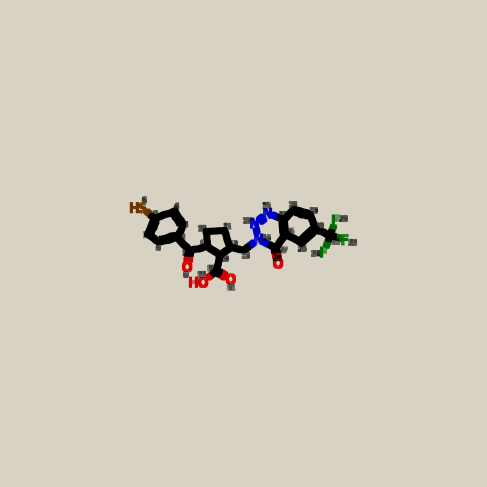 O=C(c1ccc(S)cc1)C1CCC(Cn2nnc3ccc(C(F)(F)F)cc3c2=O)C1C(=O)O